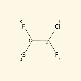 FC([S])=C(F)Cl